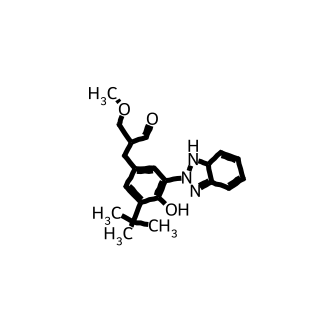 COCC(C=O)Cc1cc(N2N=C3C=CC=CC3N2)c(O)c(C(C)(C)C)c1